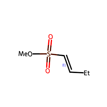 CC/C=C/S(=O)(=O)OC